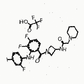 O=C(CN1CCCCC1)NC1CN(C(=O)c2ccc(F)c(F)c2Nc2ccc(I)cc2F)C1.O=C(O)C(F)(F)F